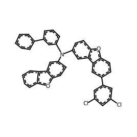 Clc1cc(Cl)cc(-c2ccc3oc4ccc(N(c5cccc(-c6ccccc6)c5)c5ccc6oc7ccccc7c6c5)cc4c3c2)c1